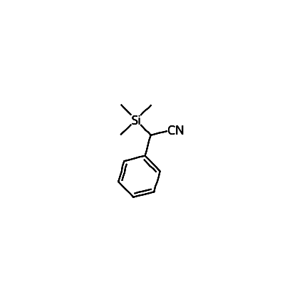 C[Si](C)(C)C(C#N)c1ccccc1